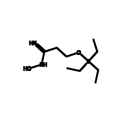 CC[Si](CC)(CC)OCCC(=N)NO